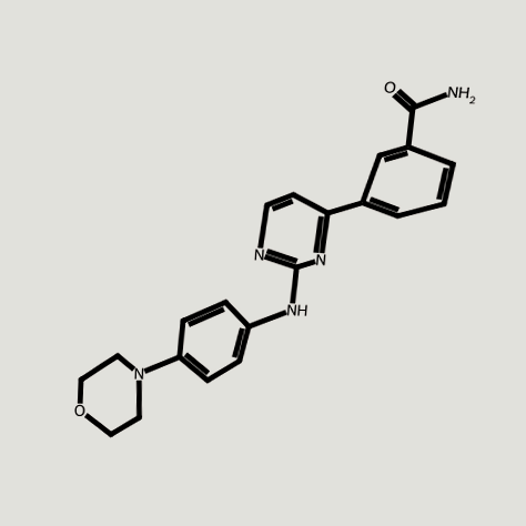 NC(=O)c1cccc(-c2ccnc(Nc3ccc(N4CCOCC4)cc3)n2)c1